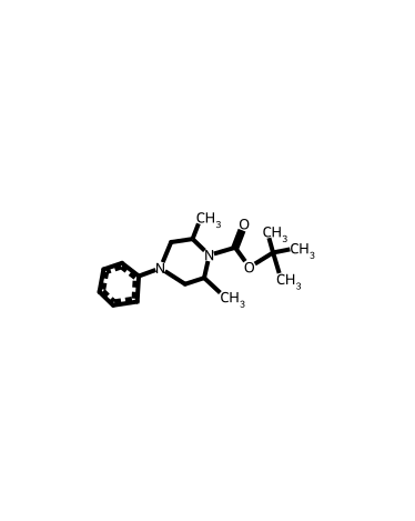 CC1CN(c2ccccc2)CC(C)N1C(=O)OC(C)(C)C